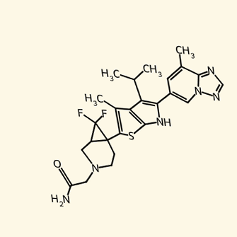 Cc1c(C23CCN(CC(N)=O)CC2C3(F)F)sc2[nH]c(-c3cc(C)c4ncnn4c3)c(C(C)C)c12